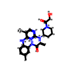 C=CC(=O)Nc1cc(C)ccc1Nc1nc(N[C@H]2CCCN(C(=O)CO)C2)ncc1C(F)(F)F